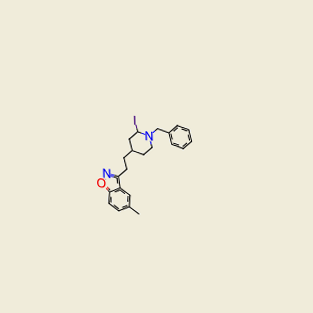 Cc1ccc2onc(CCC3CCN(Cc4ccccc4)C(I)C3)c2c1